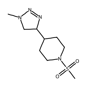 CN1CC(C2CCN(S(C)(=O)=O)CC2)N=N1